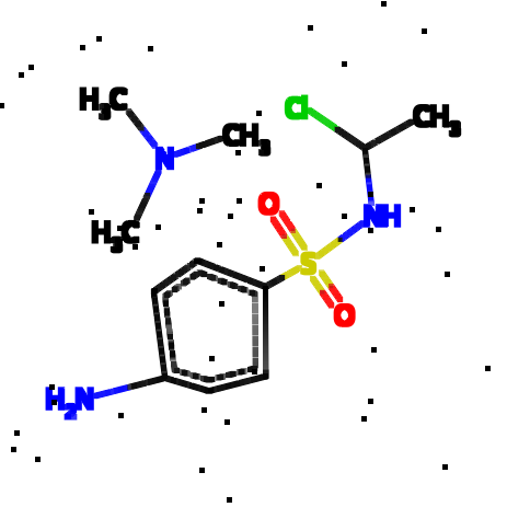 CC(Cl)NS(=O)(=O)c1ccc(N)cc1.CN(C)C